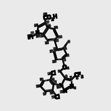 Cc1cc(OCc2c(C(F)(F)F)nnn2-c2c(Cl)cccc2Cl)ccc1-c1ccc2c(C(=O)O)cn(C(C)C)c2c1